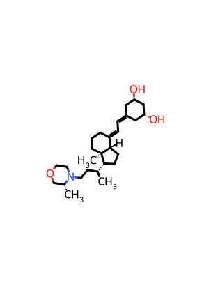 CC(CCN1CCOC[C@H]1C)[C@H]1CC[C@H]2/C(=C/C=C3C[C@@H](O)C[C@H](O)C3)CCC[C@]12C